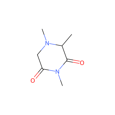 CC1C(=O)N(C)C(=O)CN1C